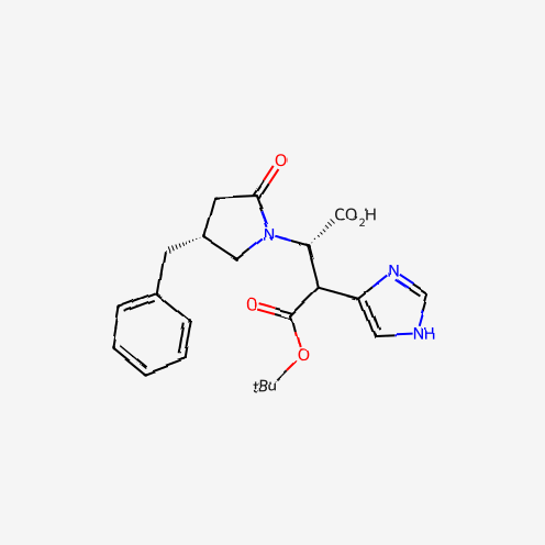 CC(C)(C)OC(=O)C(c1c[nH]cn1)[C@@H](C(=O)O)N1C[C@H](Cc2ccccc2)CC1=O